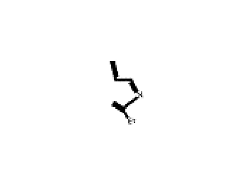 C=C/C=N\C(=C)CC